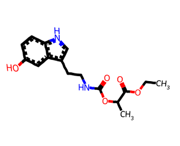 CCOC(=O)C(C)OC(=O)NCCc1c[nH]c2ccc(O)cc12